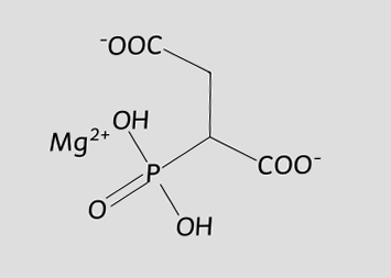 O=C([O-])CC(C(=O)[O-])P(=O)(O)O.[Mg+2]